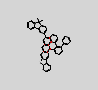 CC1(C)c2ccccc2-c2cc(-c3ccc(N(c4ccc5sc6ccccc6c5c4)c4cccc(-c5ccccc5)c4-c4ccccc4-c4ccccc4)cc3)ccc21